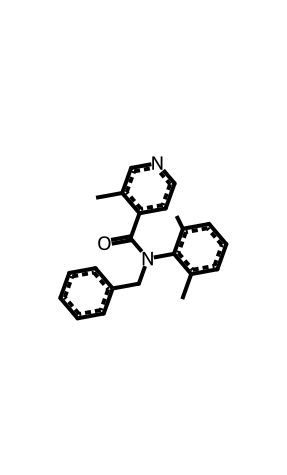 Cc1cnccc1C(=O)N(Cc1ccccc1)c1c(C)cccc1C